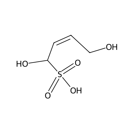 O=S(=O)(O)C(O)/C=C\CO